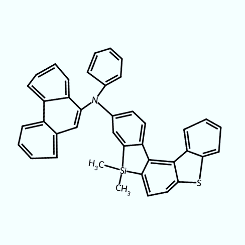 C[Si]1(C)c2cc(N(c3ccccc3)c3cc4ccccc4c4ccccc34)ccc2-c2c1ccc1sc3ccccc3c21